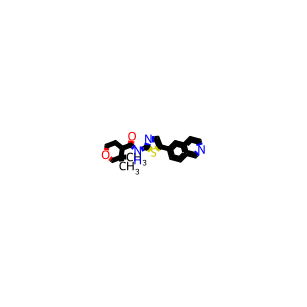 CC1(C)COCCC1C(=O)Nc1ncc(-c2ccc3cnccc3c2)s1